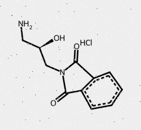 Cl.NC[C@@H](O)CN1C(=O)c2ccccc2C1=O